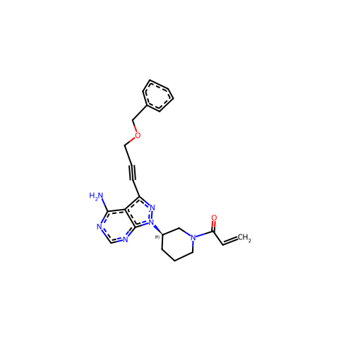 C=CC(=O)N1CCC[C@@H](n2nc(C#CCOCc3ccccc3)c3c(N)ncnc32)C1